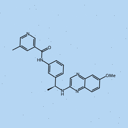 COc1ccc2nc(N[C@@H](C)c3cccc(NC(=O)c4cncc(C)c4)c3)cnc2c1